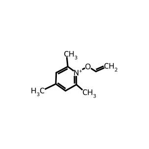 C=CO[n+]1c(C)cc(C)cc1C